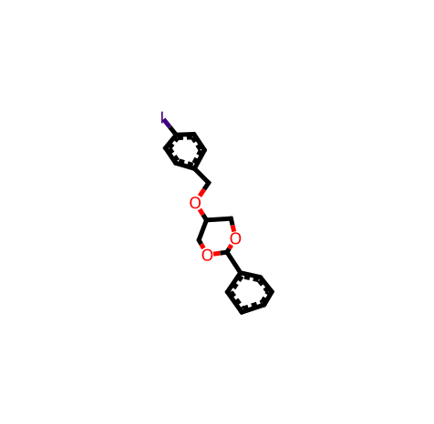 Ic1ccc(COC2COC(c3ccccc3)OC2)cc1